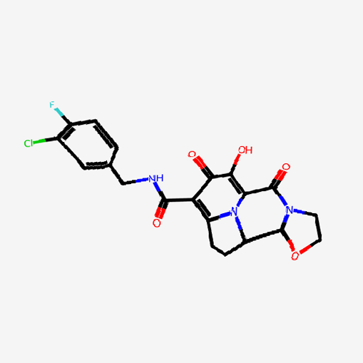 O=C(NCc1ccc(F)c(Cl)c1)c1c2n3c(c(O)c1=O)C(=O)N1CCOC1C3CC2